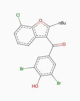 CCCCc1oc2c(Cl)cccc2c1C(=O)c1cc(Br)c(O)c(Br)c1